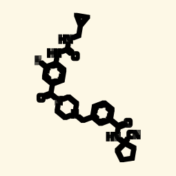 N#CC1(NC(=O)c2cccc(CN3CCN(C(=O)c4ccc(NC(=O)NCC5CC5)c(F)c4)CC3)c2)CCCC1